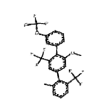 COc1cc(-c2c(C)cccc2C(F)(F)F)cc(C(F)(F)F)c1-c1cc[c]c(OC(F)(F)F)c1